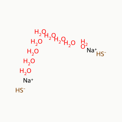 O.O.O.O.O.O.O.O.O.[Na+].[Na+].[SH-].[SH-]